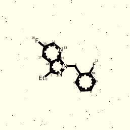 CCc1nn(Cc2ccccc2F)c2ncc(F)cc12